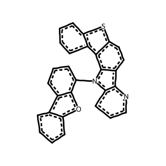 c1ccc2c(c1)oc1c(-n3c4cccnc4c4ccc5sc6ccccc6c5c43)cccc12